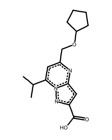 CC(C)c1cc(COC2CCCC2)nc2cc(C(=O)O)nn12